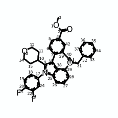 COC(=O)c1ccc(-c2c(C3CCOCC3)n(-c3ccc(F)c(F)c3)c3cccc(OCc4ccccc4)c23)c(C#N)c1